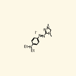 CCN(CC)c1ccc(N=NC2=[N+]N(C)CN2C)cc1.[I-]